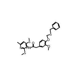 COc1cc(CC(=O)Nc2c(SC)cc(C)nc2SC)ccc1OCSCc1ccccc1